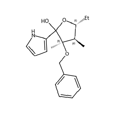 CC[C@H]1OC(O)(c2ccc[nH]2)[C@](C)(OCc2ccccc2)[C@@H]1C